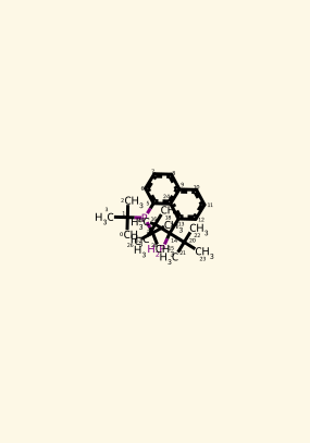 CC(C)(C)P(c1cccc2cccc(C(P)(C(C)(C)C)C(C)(C)C)c12)C(C)(C)C